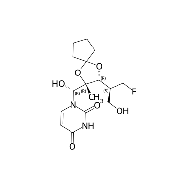 C[C@@]1([C@@H](O)n2ccc(=O)[nH]c2=O)OC2(CCCC2)O[C@@H]1[C@H](CO)CF